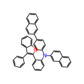 c1ccc(-c2c(-c3ccccc3N(c3ccc(-c4ccc5ccccc5c4)cc3)c3ccc4ccccc4c3)oc3ccccc23)cc1